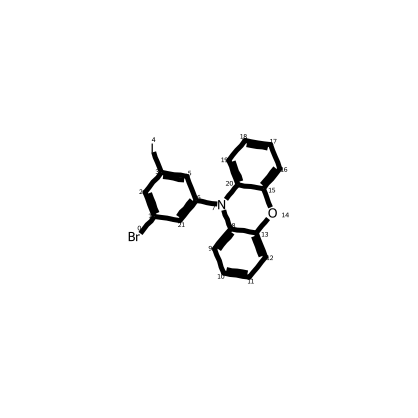 Brc1cc(I)cc(N2c3ccccc3Oc3ccccc32)c1